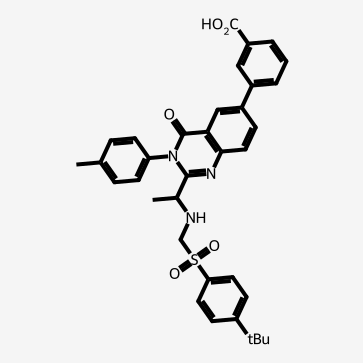 Cc1ccc(-n2c(C(C)NCS(=O)(=O)c3ccc(C(C)(C)C)cc3)nc3ccc(-c4cccc(C(=O)O)c4)cc3c2=O)cc1